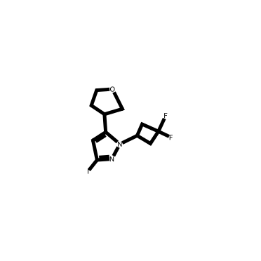 FC1(F)CC(n2nc(I)cc2C2CCOC2)C1